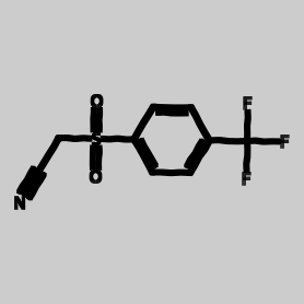 N#CCS(=O)(=O)c1ccc(C(F)(F)F)cc1